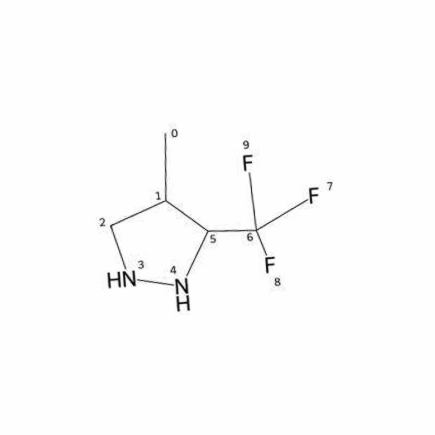 CC1CNNC1C(F)(F)F